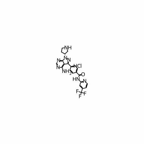 Cl.Nc1ncnc2c1c(-c1ccc(C(=O)Nc3cc(C(F)(F)F)ccn3)cc1)nn2[C@@H]1CCNC1